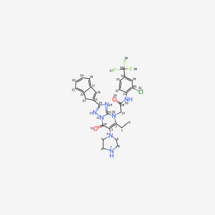 CCc1c(N2CCNCC2)c(=O)n2nc(C3=Cc4ccccc4C3)nc2n1CC(=O)Nc1ccc(C(F)(F)F)cc1Cl